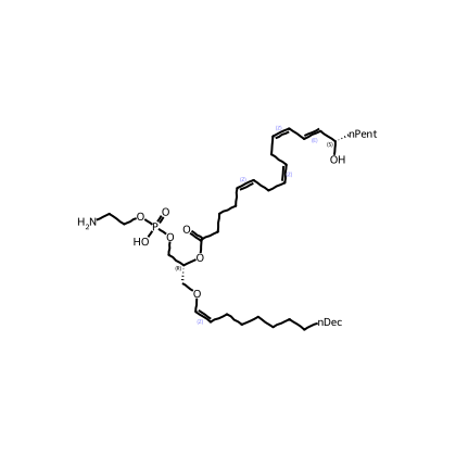 CCCCCCCCCCCCCCCC/C=C\OC[C@H](COP(=O)(O)OCCN)OC(=O)CCC/C=C\C/C=C\C/C=C\C=C\[C@@H](O)CCCCC